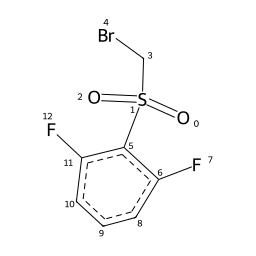 O=S(=O)(CBr)c1c(F)cccc1F